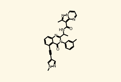 Cc1cccc(-n2c(C(C)NC(=O)c3c(C)nn4cccnc34)nc3cccc(C#Cc4cnn(C)c4)c3c2=O)c1